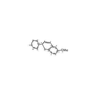 COc1ccc2c(c1)C=CC(c1ccccc1)C2